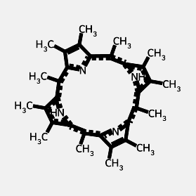 CC1=C(C)c2nc1c(C)c1[nH]c(c(C)c3nc(c(C)c4[nH]c(c2C)c(C)c4C)C(C)=C3C)c(C)c1C